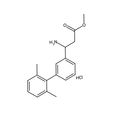 COC(=O)CC(N)c1cccc(-c2c(C)cccc2C)c1.Cl